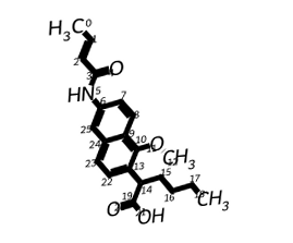 C/C=C/C(=O)Nc1ccc2c(OC)c(C(CCCC)C(=O)O)ccc2c1